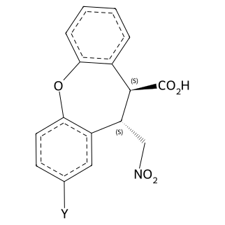 O=C(O)[C@@H]1c2ccccc2Oc2cc[c]([Y])cc2[C@H]1C[N+](=O)[O-]